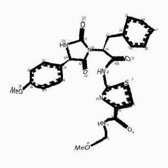 COCNC(=O)c1csc(NC(=O)[C@H](Cc2ccccc2)N2C(=O)N[C@H](c3ccc(OC)cc3)C2=O)n1